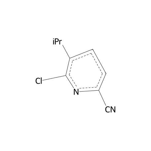 CC(C)c1ccc(C#N)nc1Cl